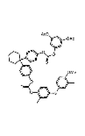 COc1ccc(Sc2ccc(OC(=O)Oc3ccc(C4(c5ccc(OC(=O)Oc6cc(OC(C)=O)cc(OC(C)=O)c6)cc5)CCCCC4)cc3)c(C)c2)cc1C